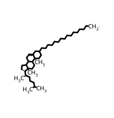 [CH2]CCCCCCCCCCCCCCCC1CC[C@@]2(C)C(=CCC3C2CC[C@@]2(C)C3CC[C@@H]2[C@H](C)CCCC(C)C)C1